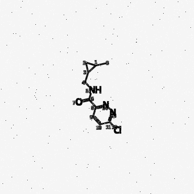 CC1CC1CNC(=O)c1ccc(Cl)nn1